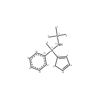 C[Si](C)(C)N[Si](C)(C1=CC=CC1)c1ccccc1